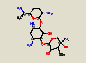 CNC1C(O)[C@@H](O[C@@H]2C(O)C(O[C@H]3O[C@H]([C@@H](C)N)CCC3N)[C@@H](N)C[C@H]2N)OC[C@]1(C)O